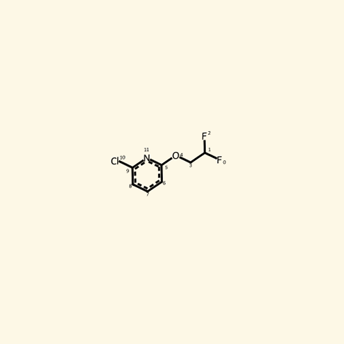 FC(F)COc1cccc(Cl)n1